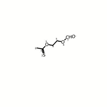 CC(=S)OCCO[C]=O